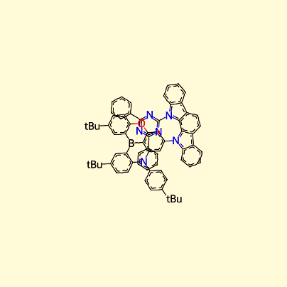 CC(C)(C)c1ccc(N2c3ccc(C(C)(C)C)cc3B3c4cc(C(C)(C)C)ccc4Oc4cc(-n5c6ccccc6c6ccc7c8ccccc8n(-c8nc(-c9ccccc9)nc(-c9ccccc9)n8)c7c65)cc2c43)cc1